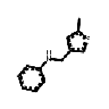 Cc1cc(CNc2ccccc2)cs1